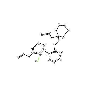 C=CCc1cccc(-c2ccccc2CCC2(CC=C)CCCCC2)c1F